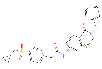 O=C(O)CN(Cc1ccccc1)C(=O)c1ccc(NC(=O)Cc2ccc(S(=O)(=O)CC3CC3)cc2)cc1